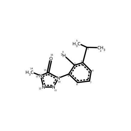 [3H]c1c(C(C)C)cccc1-n1nnn(C)c1=O